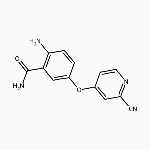 N#Cc1cc(Oc2ccc(N)c(C(N)=O)c2)ccn1